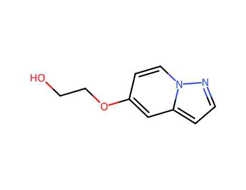 OCCOc1ccn2nccc2c1